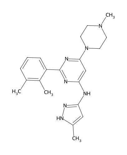 Cc1cc(Nc2cc(N3CCN(C)CC3)nc(-c3cccc(C)c3C)n2)n[nH]1